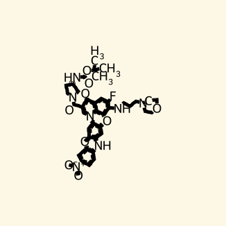 CC(C)(C)OC(=O)N[C@H]1CCN(C(=O)c2cn3c4cc5oc6cc([N+](=O)[O-])ccc6[nH]c5cc4oc4c(NCCCN5CCOCC5)c(F)cc(c2=O)c43)C1